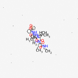 C=CCNC(=O)C(=O)[C@H](CCCC)NC(=O)C1C2[C@H](CN1C(=O)[C@@H](NC(=O)NC1([C@@H]3CCCS3(=O)=O)CCCCC1)C(C)(C)C)C2(C)C